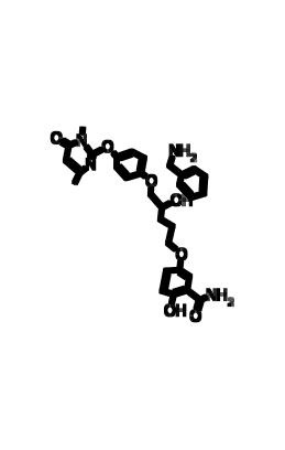 Cc1cc(=O)n(C)c(Oc2ccc(OCC(O)CCCOc3ccc(O)c(C(N)=O)c3)cc2)n1.NCc1ccccc1